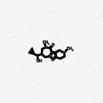 CN1CCc2nn3c(c2C1)C(=O)N(C)CC(C(O)C1CC1)C3